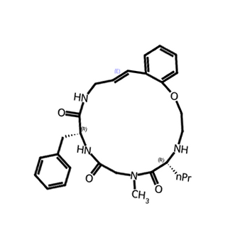 CCC[C@H]1NCCOc2ccccc2/C=C/CNC(=O)[C@@H](Cc2ccccc2)NC(=O)CN(C)C1=O